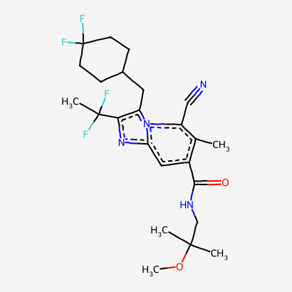 COC(C)(C)CNC(=O)c1cc2nc(C(C)(F)F)c(CC3CCC(F)(F)CC3)n2c(C#N)c1C